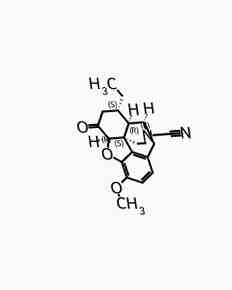 CC[C@H]1CC(=O)[C@@H]2Oc3c(OC)ccc4c3[C@@]23CCN(C#N)[C@H](C4)[C@H]13